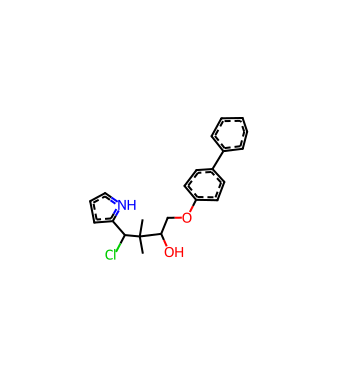 CC(C)(C(O)COc1ccc(-c2ccccc2)cc1)C(Cl)c1ccc[nH]1